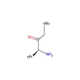 CCCCCC(=O)[C@@H](N)CCC